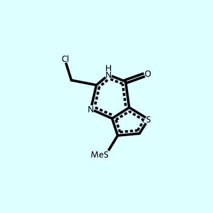 CSc1csc2c(=O)[nH]c(CCl)nc12